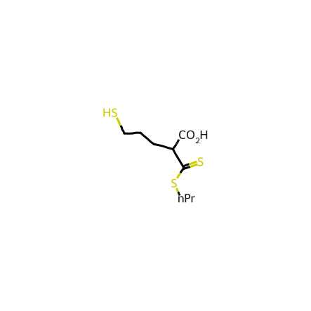 CCCSC(=S)C(CCCS)C(=O)O